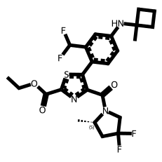 CCOC(=O)c1nc(C(=O)N2CC(F)(F)C[C@@H]2C)c(-c2ccc(NC3(C)CCC3)cc2C(F)F)s1